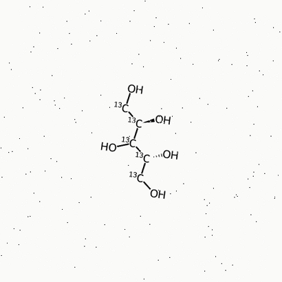 O[13CH2][13C@@H](O)[13CH](O)[13C@H](O)[13CH2]O